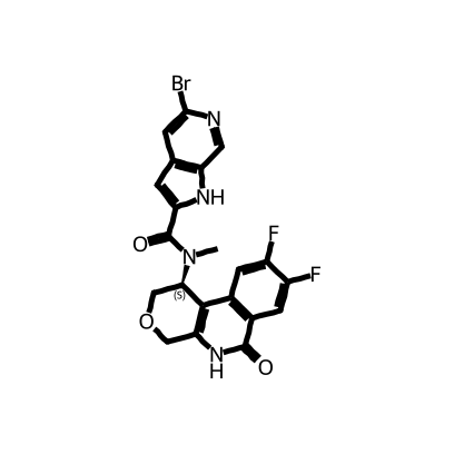 CN(C(=O)c1cc2cc(Br)ncc2[nH]1)[C@@H]1COCc2[nH]c(=O)c3cc(F)c(F)cc3c21